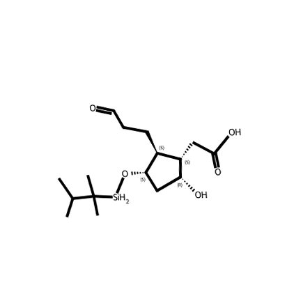 CC(C)C(C)(C)[SiH2]O[C@H]1C[C@@H](O)[C@@H](CC(=O)O)[C@@H]1CCC=O